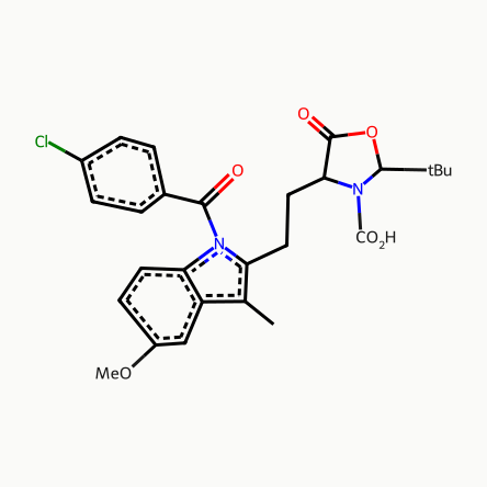 COc1ccc2c(c1)c(C)c(CCC1C(=O)OC(C(C)(C)C)N1C(=O)O)n2C(=O)c1ccc(Cl)cc1